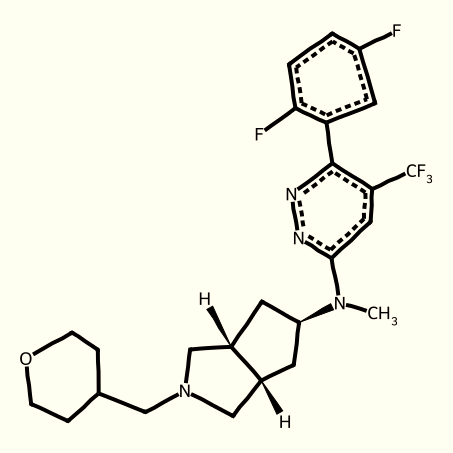 CN(c1cc(C(F)(F)F)c(-c2cc(F)ccc2F)nn1)[C@H]1C[C@@H]2CN(CC3CCOCC3)C[C@@H]2C1